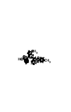 Cc1ccc(S(=O)(=O)n2cc(-c3nc(NC4C5CCC(CC5)C4C(=O)O)c4ccn(C)c4n3)c3cncnc32)cc1